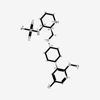 CCOc1ncc(Cl)cc1[C@H]1CC[C@@H](OC[C@@H]2NCCC[C@@H]2NS(=O)(=O)C(C)C)CC1